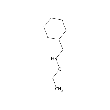 CCONCC1CCCCC1